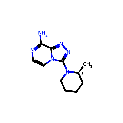 C[C@H]1CCCCN1c1nnc2c(N)nccn12